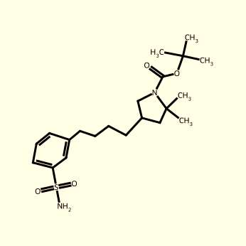 CC(C)(C)OC(=O)N1CC(CCCCc2cccc(S(N)(=O)=O)c2)CC1(C)C